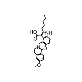 CCCCCc1[nH]c2ccc3c(c2c1C(=O)O)CN1CCc2cc(OC)ccc2C1O3